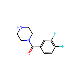 O=C(c1ccc(F)c(F)c1)N1CCNCC1